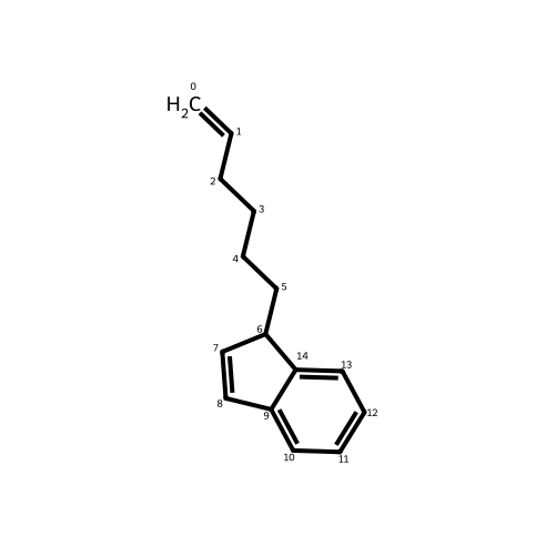 C=CCCCCC1C=Cc2ccccc21